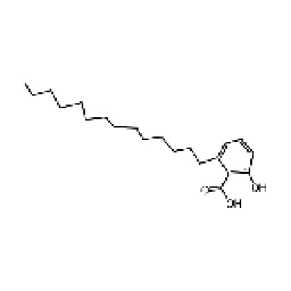 CCCCCCCCCCCCCCc1cccc(O)c1C(=O)O